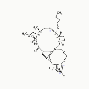 C=C1COc2ccc3cc2N(CCCC/C1=C/C(Cl)=C\C)C[C@@H]1CC[C@H]1[C@@H](OCCOC)/C=C/C[C@H](C)[C@H](COC)S(=O)(=O)NC3=O